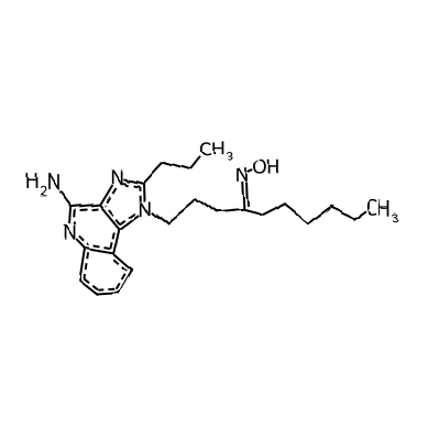 CCCCCCC(CCCn1c(CCC)nc2c(N)nc3ccccc3c21)=NO